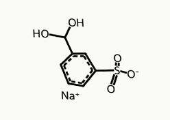 O=S(=O)([O-])c1cccc(C(O)O)c1.[Na+]